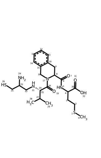 CSCCC(NC(=O)C1Cc2ccccc2CN1C(=O)[C@@H](NCC(N)CS)C(C)C)C(=O)O